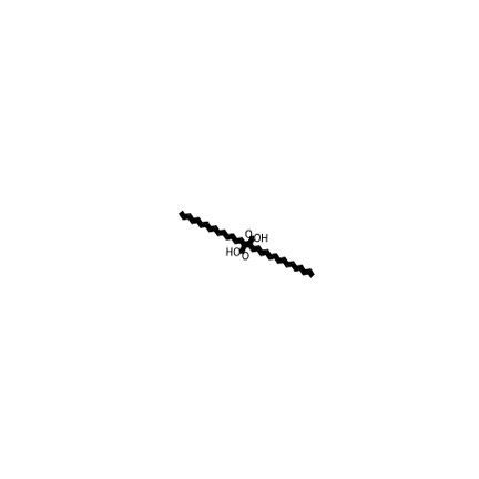 CCCCCCCCCCCCCCC/C(C(=O)O)=C(/CCCCCCCCCCCCCCC)C(=O)O